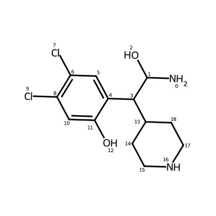 NC(O)C(c1cc(Cl)c(Cl)cc1O)C1CCNCC1